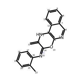 C=C1Nc2c(ncc3ccccc23)O/C1=N/c1ccccc1C